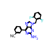 N#Cc1cccc(-c2nc(N)nc3c2ncn3Cc2c(F)cccc2F)c1